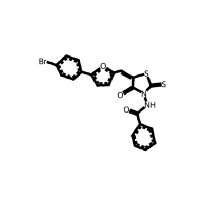 O=C(NN1C(=O)C(=Cc2ccc(-c3ccc(Br)cc3)o2)SC1=S)c1ccccc1